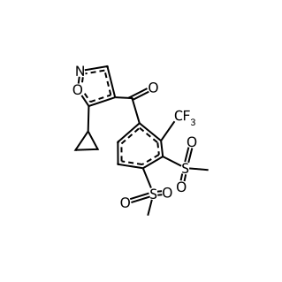 CS(=O)(=O)c1ccc(C(=O)c2cnoc2C2CC2)c(C(F)(F)F)c1S(C)(=O)=O